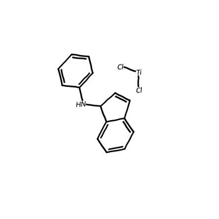 C1=CC(Nc2ccccc2)c2ccccc21.[Cl][Ti][Cl]